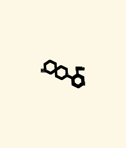 CNc1cnccc1N1CCC2(CCCNC2)CC1